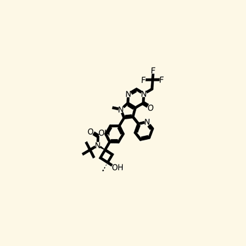 Cn1c(-c2ccc([C@]3(N(C(=O)O)C(C)(C)C)C[C@@](C)(O)C3)cc2)c(-c2ccccn2)c2c(=O)n(CC(F)(F)F)cnc21